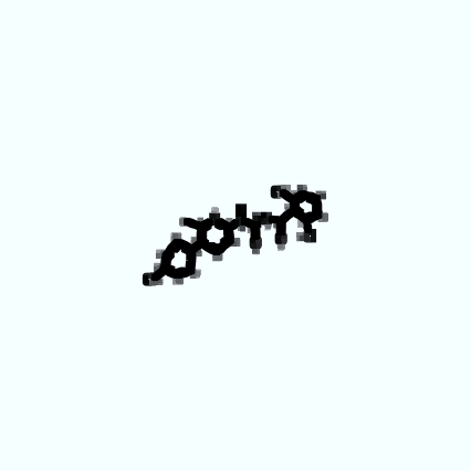 Cc1nc(NC(=O)NC(=O)c2c(Cl)cccc2Cl)ccc1-c1ccc(Cl)cc1